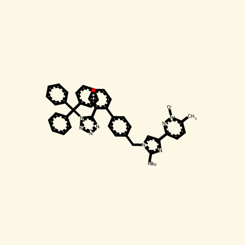 CCCCc1nc(-c2ccc(C)[n+]([O-])n2)cn1Cc1ccc(-c2ccccc2-c2nnnn2C(c2ccccc2)(c2ccccc2)c2ccccc2)cc1